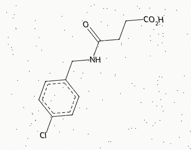 O=C(O)CCC(=O)NCc1ccc(Cl)cc1